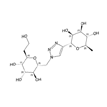 C[C@H]1O[C@H](c2cn(C[C@H]3O[C@H](CCO)[C@@H](O)[C@@H](O)[C@@H]3O)nn2)[C@@H](O)[C@@H](O)[C@@H]1O